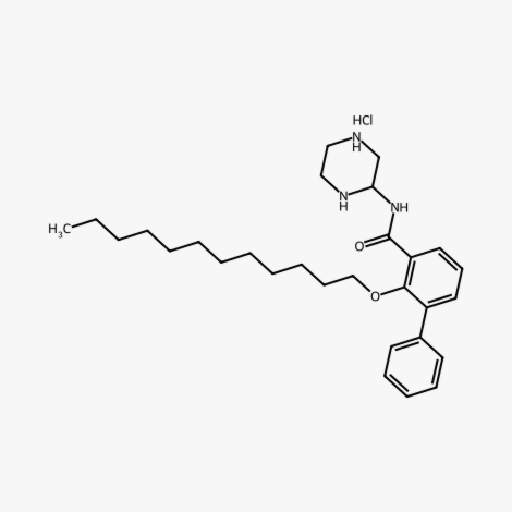 CCCCCCCCCCCCOc1c(C(=O)NC2CNCCN2)cccc1-c1ccccc1.Cl